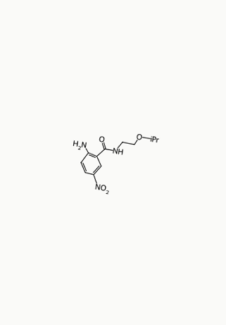 CC(C)OCCNC(=O)c1cc([N+](=O)[O-])ccc1N